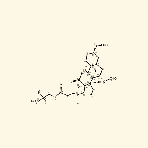 C[C@H](CCC(=O)OCC(F)(F)S(=O)(=O)O)[C@H]1CC[C@H]2[C@@H]3[C@@H](OC=O)CC4C[C@H](OC=O)CC[C@]4(C)[C@H]3CC(=O)[C@]12C